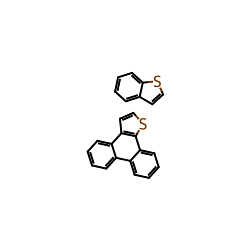 c1ccc2c(c1)c1ccccc1c1sccc21.c1ccc2sccc2c1